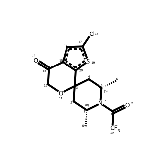 C[C@@H]1CC2(C[C@H](C)N1C(=O)C(F)(F)F)OCC(=O)c1cc(Cl)sc12